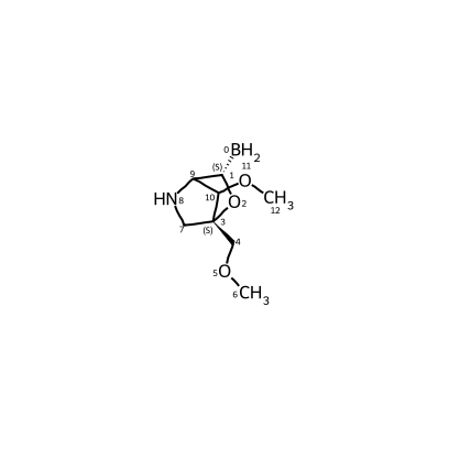 B[C@@H]1O[C@]2(COC)CNC1C2OC